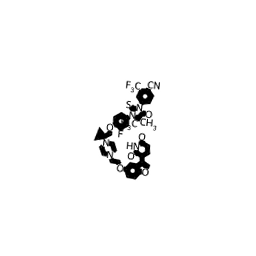 CC1(C)C(=O)N(c2ccc(C#N)c(C(F)(F)F)c2)C(=S)N1c1ccc(OCC2(N3CCN(CCOc4ccc5occ(C6CCC(=O)NC6=O)c5c4)CC3)CC2)c(F)c1